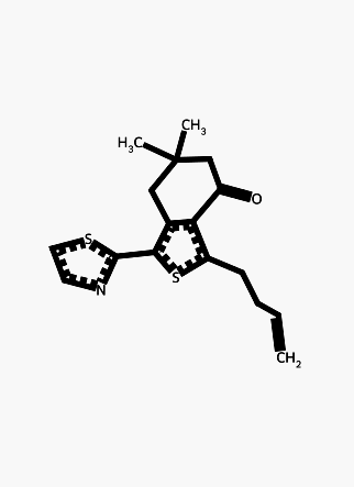 C=CCCc1sc(-c2nccs2)c2c1C(=O)CC(C)(C)C2